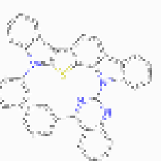 c1ccc(-c2nc(-n3c4ccccc4c4ccc5c(sc6c5c5ccccc5n6-c5ccccc5)c43)nc3ccccc23)cc1